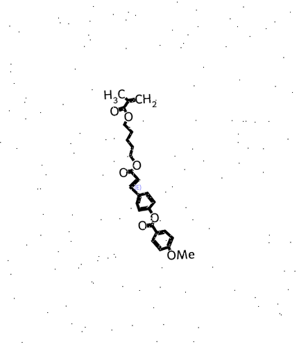 C=C(C)C(=O)OCCCCCOC(=O)/C=C/c1ccc(OC(=O)c2ccc(OC)cc2)cc1